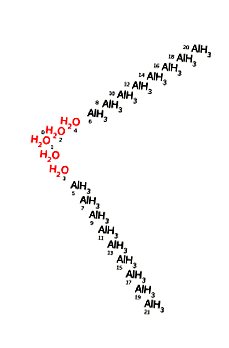 O.O.O.O.O.[AlH3].[AlH3].[AlH3].[AlH3].[AlH3].[AlH3].[AlH3].[AlH3].[AlH3].[AlH3].[AlH3].[AlH3].[AlH3].[AlH3].[AlH3].[AlH3].[AlH3]